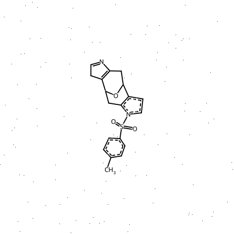 Cc1ccc(S(=O)(=O)n2ccc3c2CC2OC3CC3=C2CC=N3)cc1